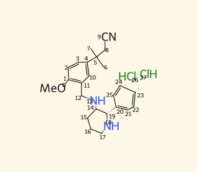 COc1ccc(C(C)(C)CC#N)cc1CN[C@H]1CCCN[C@H]1c1ccccc1.Cl.Cl